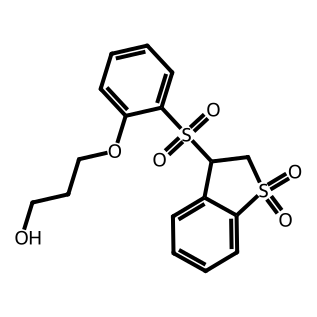 O=S1(=O)CC(S(=O)(=O)c2ccccc2OCCCO)c2ccccc21